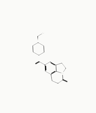 NC[C@H]1CC[C@H](C(=O)c2cc3c4c(c2)CCN4C(=O)CC3)CC1